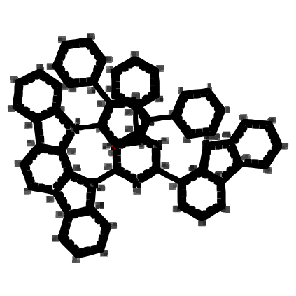 c1ccc(-c2ccc(-n3c4ccccc4c4ccc5c6ccccc6n(-c6nc(-c7ccccc7)nc(-c7cccc8c7sc7ccccc78)n6)c5c43)c(-c3ccccc3)c2)cc1